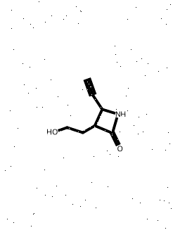 C#CC1NC(=O)C1CCO